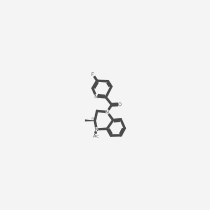 CC(=O)N1c2ccccc2N(C(=O)c2ccc(F)cn2)C[C@@H]1C